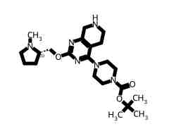 CN1CCC[C@H]1COc1nc2c(c(N3CCN(C(=O)OC(C)(C)C)CC3)n1)CCNC2